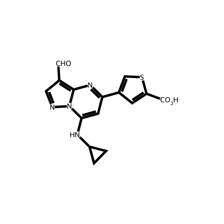 O=Cc1cnn2c(NC3CC3)cc(-c3csc(C(=O)O)c3)nc12